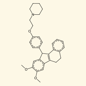 COc1cc2c(cc1OC)C(c1ccc(OCCN3CCCCC3)cc1)C1=C2CCc2ccccc21